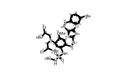 CCCCNS(=O)(=O)Nc1cc(N(CC(CC)CCCC)CC(CC)CCCC)c(OC)cc1/N=N\c1nc(Cl)c(/N=N\c2ccc(CCCC)cc2)s1